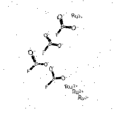 [O-]B([O-])F.[O-]B([O-])F.[O-]B([O-])F.[O-]B([O-])F.[Ru+2].[Ru+2].[Ru+2].[Ru+2]